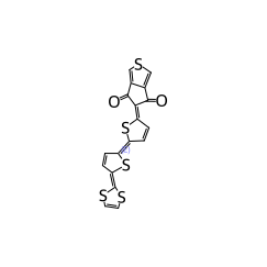 O=C1C(=c2cc/c(=c3/ccc(=C4SC=CS4)s3)s2)C(=O)c2cscc21